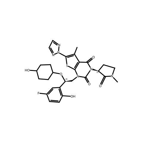 Cc1c(-n2nccn2)sc2c1c(=O)n([C@H]1CCN(C)C1=O)c(=O)n2C[C@H](OC1CCC(O)CC1)c1cc(F)ccc1O